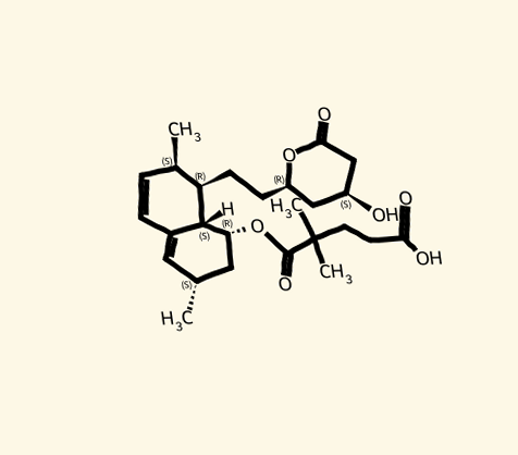 C[C@@H]1C=C2C=C[C@@H](C)[C@@H](CC[C@@H]3C[C@H](O)CC(=O)O3)[C@@H]2[C@H](OC(=O)C(C)(C)CCC(=O)O)C1